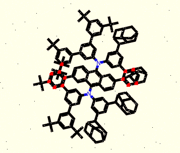 CC(C)(C)c1cc(-c2cc(-c3cc(C(C)(C)C)cc(C(C)(C)C)c3)cc(N(c3cc(C4C5CC6CC(C5)CC4C6)cc(C4C5CC6CC(C5)CC4C6)c3)c3c4ccc(-c5ccccc5)cc4c(N(c4cc(-c5cc(C(C)(C)C)cc(C(C)(C)C)c5)cc(-c5cc(C(C)(C)C)cc(C(C)(C)C)c5)c4)c4cc(C5C6CC7CC(C6)CC5C7)cc(C5C6CC7CC(C6)CC5C7)c4)c4ccc(-c5ccccc5)cc34)c2)cc(C(C)(C)C)c1